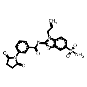 C=CCn1/c(=N/C(=O)c2cccc(N3C(=O)CCC3=O)c2)sc2cc(S(N)(=O)=O)ccc21